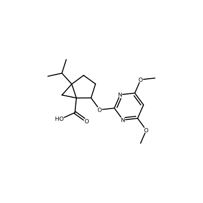 COc1cc(OC)nc(OC2CCC3(C(C)C)CC23C(=O)O)n1